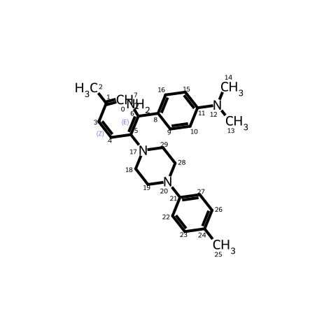 C=C(C)/C=C\C(=C(/N)c1ccc(N(C)C)cc1)N1CCN(c2ccc(C)cc2)CC1